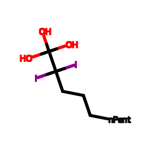 CCCCCCCCC(I)(I)C(O)(O)O